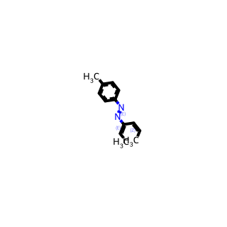 C\C=C/C(=C\C)/N=N/c1ccc(C)cc1